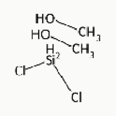 CO.CO.Cl[SiH2]Cl